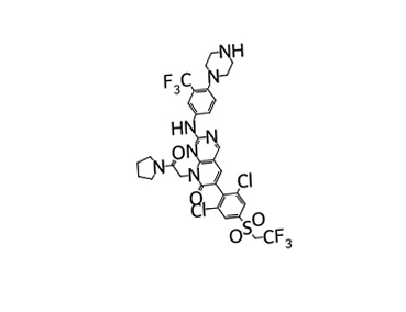 O=C(Cn1c(=O)c(-c2c(Cl)cc(S(=O)(=O)CC(F)(F)F)cc2Cl)cc2cnc(Nc3ccc(N4CCNCC4)c(C(F)(F)F)c3)nc21)N1CCCC1